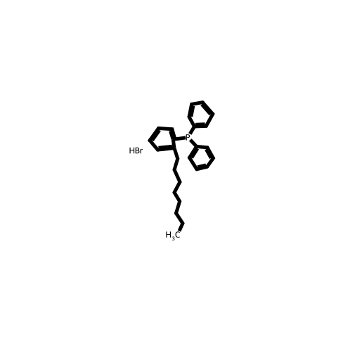 Br.CCCCCCCCc1ccccc1P(c1ccccc1)c1ccccc1